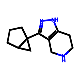 C1CC2CC2(c2n[nH]c3c2CNCC3)C1